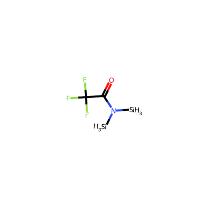 O=C(N([SiH3])[SiH3])C(F)(F)F